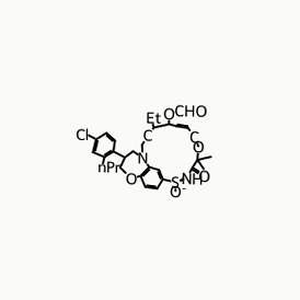 CCCc1cc(Cl)ccc1C1COc2ccc3cc2N(CCC(CC)C(OC=O)/C=C/COC(C)(C)C(=O)N[S+]3[O-])C1